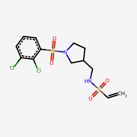 C=CS(=O)(=O)NCC1CCN(S(=O)(=O)c2cccc(Cl)c2Cl)C1